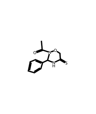 CC(=O)N1OCC(=S)NC1c1ccccc1